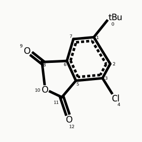 CC(C)(C)c1cc(Cl)c2c(c1)C(=O)OC2=O